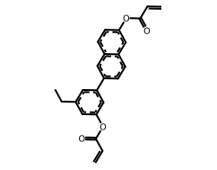 C=CC(=O)Oc1cc(CC)cc(-c2ccc3cc(OC(=O)C=C)ccc3c2)c1